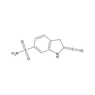 NS(=O)(=O)c1ccc2c(c1)NC(=C=O)C2